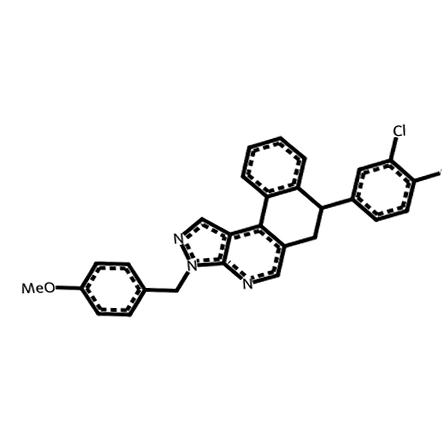 COc1ccc(Cn2ncc3c4c(cnc32)CC(c2ccc(Cl)c(Cl)c2)c2ccccc2-4)cc1